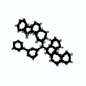 c1ccc(-c2cccc(N(c3ccc4ccc5c6ccccc6oc5c4c3)c3cc4ccc5ccccc5c4c4ccccc34)c2)cc1